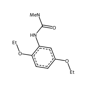 CCOc1ccc(OCC)c(NC(=O)NC)c1